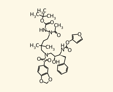 CC(=O)N(CCC(C)(C)CN(C[C@H](O)[C@H](Cc1ccccc1)NC(=O)Oc1ccoc1)S(=O)(=O)c1ccc2c(c1)OCO2)NC(=O)OC(C)(C)C